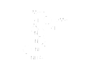 COc1cc(OC)c(Cl)c(-c2cc3cnc(Nc4ccccc4NC(C)=O)nc3n3ccnc23)c1Cl